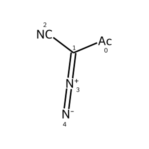 CC(=O)C(C#N)=[N+]=[N-]